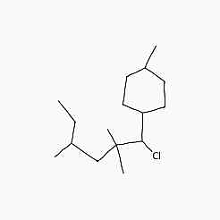 CCC(C)CC(C)(C)C(Cl)C1CCC(C)CC1